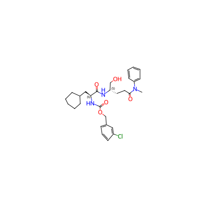 CN(C(=O)CC[C@@H](CO)NC(=O)[C@H](CC1CCCCC1)NC(=O)OCc1cccc(Cl)c1)c1ccccc1